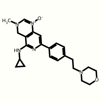 CN1C=[N+]([O-])c2cc(-c3ccc(CCN4CCOCC4)cc3)nc(NC3CC3)c2C1